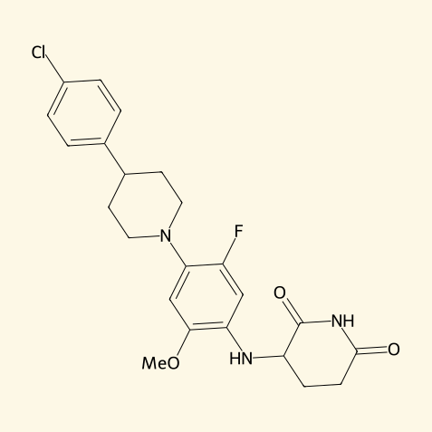 COc1cc(N2CCC(c3ccc(Cl)cc3)CC2)c(F)cc1NC1CCC(=O)NC1=O